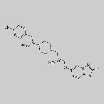 Cc1nc2cc(OC[C@H](O)CN3CCN(N(C=S)Cc4ccc(Cl)cc4)CC3)ccc2s1